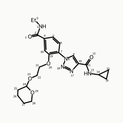 CCNC(=O)c1ccc(-n2cc(C(=O)NC3CC3)nn2)c(OCCOC2CCCCO2)c1